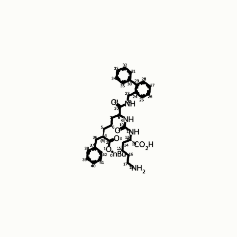 CCCCOC(=O)[C@H](CCCC(NC(=O)N[C@@H](CCCCN)C(=O)O)C(=O)NCc1ccccc1-c1ccccc1)Cc1ccccc1